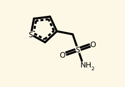 NS(=O)(=O)Cc1ccsc1